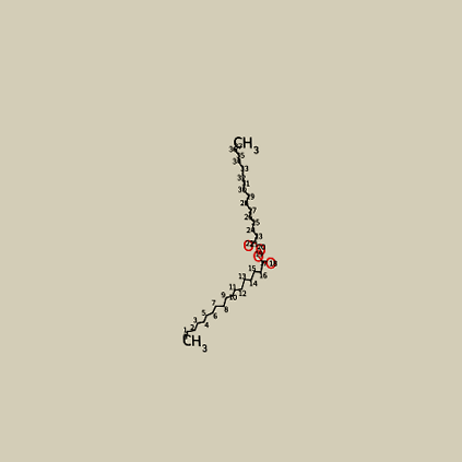 CCCCCCCCCCCCCCCCCC(=O)OOC(=O)CCCCCCCCCCCCCCC